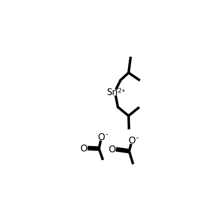 CC(=O)[O-].CC(=O)[O-].CC(C)[CH2][Sn+2][CH2]C(C)C